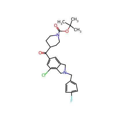 CC(C)(C)OC(=O)N1CCC(C(=O)c2cc(Cl)c3c(c2)CN(Cc2ccc(F)cc2)C3)CC1